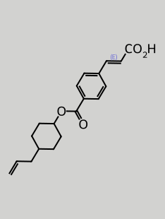 C=CCC1CCC(OC(=O)c2ccc(/C=C/C(=O)O)cc2)CC1